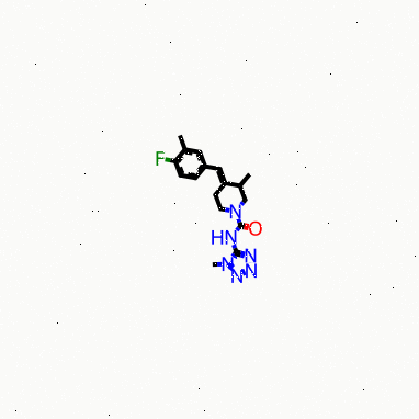 Cc1cc(/C=C2\CCN(C(=O)Nc3nnnn3C)CC2C)ccc1F